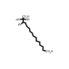 CCCC(CCC)(C(=O)O)C(CCCCCCCCCCCCC(=O)O)C(C)C